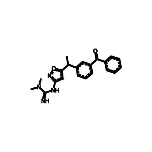 CC(c1cccc(C(=O)c2ccccc2)c1)c1cc(NC(=N)N(C)C)no1